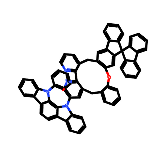 c1ccc(-n2c3ccccc3c3ccc4c5ccccc5n(-c5cnc6c(c5)Cc5ccccc5Oc5cc7c(cc5Cc5cccnc5-6)-c5ccccc5C75c6ccccc6-c6ccccc65)c4c32)cc1